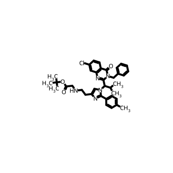 Cc1ccc(-c2nc(CCNCC(=O)OC(C)(C)C)cn2C(c2nc3cc(Cl)ccc3c(=O)n2Cc2ccccc2)C(C)C)cc1